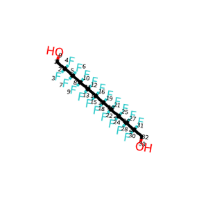 OCC(F)(F)C(F)(F)C(F)(F)C(F)(F)C(F)(F)C(F)(F)C(F)(F)C(F)(F)C(F)(F)C(F)(F)CO